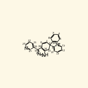 C1=CC(c2ccccc2)(c2ccccn2)Cc2[nH]nc(-c3cccnc3)c21